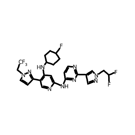 FC(F)Cn1cc(-c2nccc(Nc3cc(NC4CCC(F)CC4)c(-c4ccn(CC(F)(F)F)n4)cn3)n2)cn1